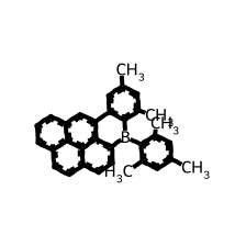 Cc1cc(C)c(B2c3c(C)cc(C)cc3-c3cc4cccc5ccc6ccc2c3c6c54)c(C)c1